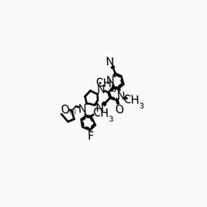 Cc1cc(F)ccc1N(C[C@H]1CCCO1)C1CCC(N(C)c2c(C#N)c(=O)n(C)c3ccc(C#N)nc23)CC1